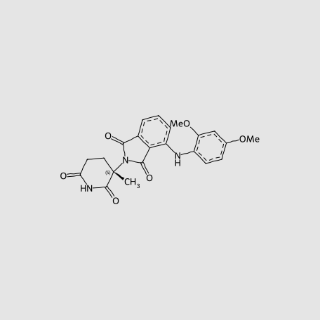 COc1ccc(Nc2cccc3c2C(=O)N([C@@]2(C)CCC(=O)NC2=O)C3=O)c(OC)c1